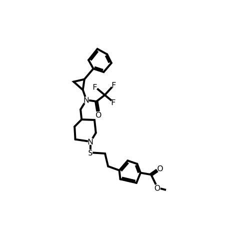 COC(=O)c1ccc(CCSN2CCC(CN(C(=O)C(F)(F)F)C3CC3c3ccccc3)CC2)cc1